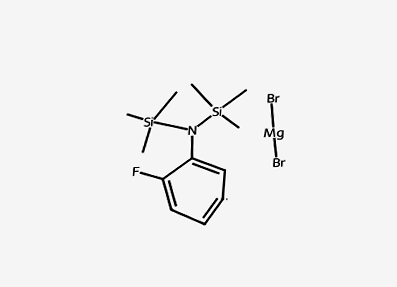 C[Si](C)(C)N(c1c[c]ccc1F)[Si](C)(C)C.[Br][Mg][Br]